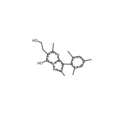 Cc1cc(C)c(-c2c(C)nn3c(O)c(CCO)c(C)nc23)c(C)c1